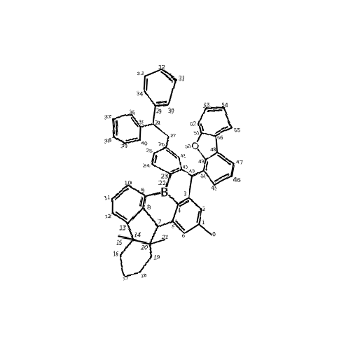 Cc1cc2c3c(c1)C1c4c(cccc4C4(C)CCCCC14C)B3c1ccc(CC(c3ccccc3)c3ccccc3)cc1C2c1cccc2c1oc1ccccc12